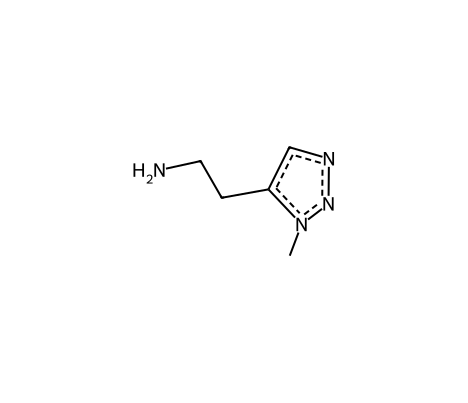 Cn1nncc1CCN